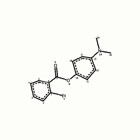 CCc1ccccc1C(=O)Oc1ccc(N(C)C)cc1